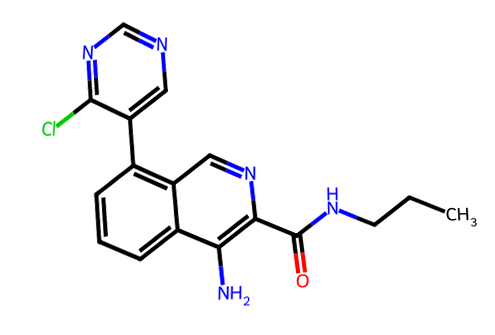 CCCNC(=O)c1ncc2c(-c3cncnc3Cl)cccc2c1N